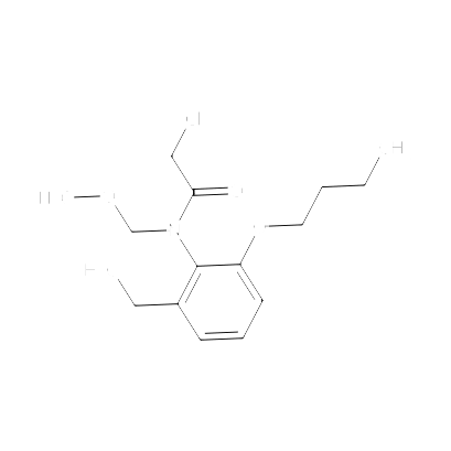 CCCCOc1cccc(CC)c1N(COC)C(=O)CCl